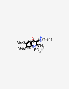 CCCCCNC=C1C(=O)c2cc(OC)c(OC)cc2N(C(=O)O)C1C